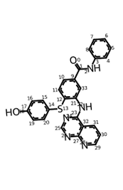 O=C(Nc1ccccc1)c1ccc(Sc2ccc(O)cc2)c(Nc2ncnc3ncccc23)c1